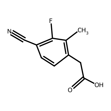 Cc1c(CC(=O)O)ccc(C#N)c1F